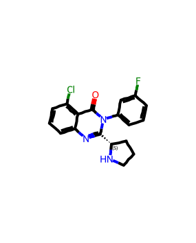 O=c1c2c(Cl)cccc2nc([C@@H]2CCCN2)n1-c1cccc(F)c1